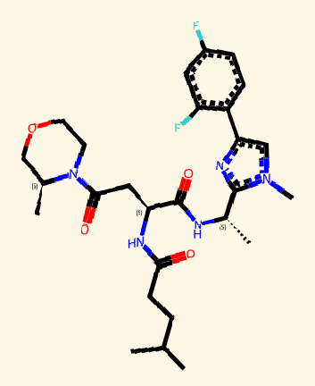 CC(C)CCC(=O)N[C@@H](CC(=O)N1CCOC[C@@H]1C)C(=O)N[C@@H](C)c1nc(-c2ccc(F)cc2F)cn1C